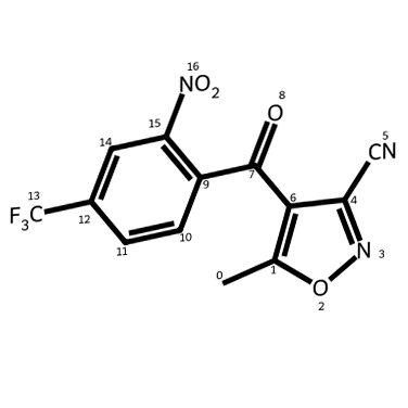 Cc1onc(C#N)c1C(=O)c1ccc(C(F)(F)F)cc1[N+](=O)[O-]